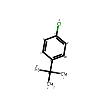 CCC(C)(C#N)c1ccc(Cl)cc1